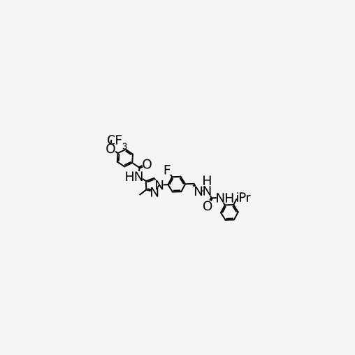 Cc1nn(-c2ccc(/C=N/NC(=O)Nc3ccccc3C(C)C)cc2F)cc1NC(=O)c1ccc(OC(F)(F)F)cc1